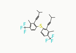 Cc1c(C(F)(F)F)ccc(Sc2ccc(C(F)(F)F)c(C)c2C#CC(C)C)c1C#CC(C)C